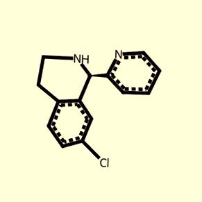 Clc1ccc2c(c1)[C@H](c1ccccn1)NCC2